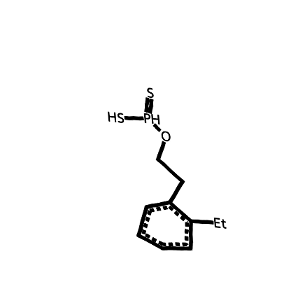 CCc1ccccc1CCO[PH](=S)S